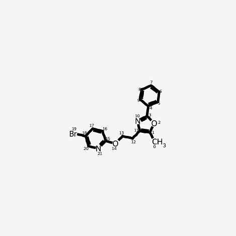 Cc1oc(-c2ccccc2)nc1CCOc1ccc(Br)cn1